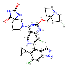 O=C1NC(=O)[C@]2(CCCN(c3nc(OC[C@@]45CCCN4C[C@H](F)C5)nc4c(F)c(-c5c(C6CC6)c(Cl)cc6[nH]ncc56)ncc34)C2)N1